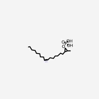 CCCCCCCC/C=C\CCCCCCC1C(C)C1OP(=O)(O)O